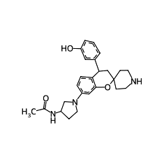 CC(=O)NC1CCN(c2ccc3c(c2)OC2(CCNCC2)CC3c2cccc(O)c2)C1